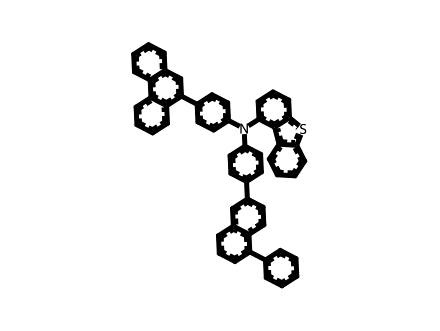 c1ccc(-c2cccc3cc(-c4ccc(N(c5ccc(-c6cc7ccccc7c7ccccc67)cc5)c5cccc6sc7ccccc7c56)cc4)ccc23)cc1